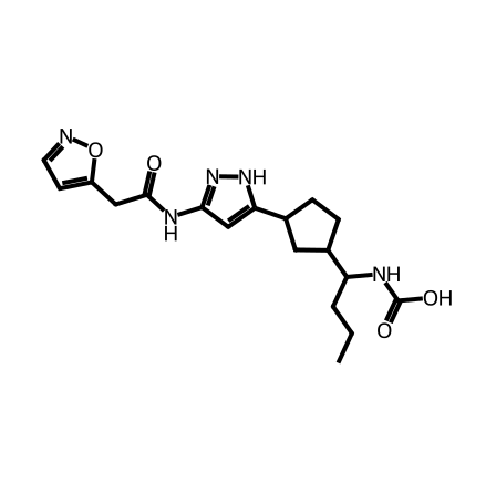 CCCC(NC(=O)O)C1CCC(c2cc(NC(=O)Cc3ccno3)n[nH]2)C1